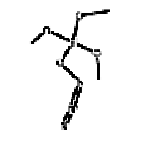 CO[Si](OC)(OC)ON=[N+]=[N-]